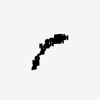 CCOc1cnc(N2CCC(CCCOc3ccc(CC(=O)N4CC[C@@H](CNCC(O)C(O)C(O)C(O)CO)C4)c(F)c3)CC2)nc1